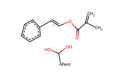 C=C(C)C(=O)O/C=C/c1ccccc1.CCCCCC(O)O